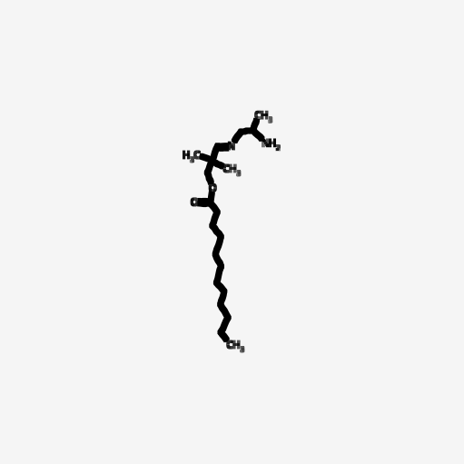 CCCCCCCCCCCC(=O)OCC(C)(C)C=NCC(C)N